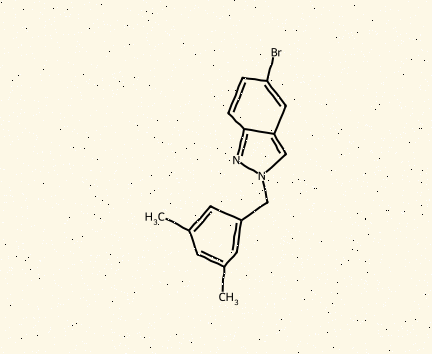 Cc1cc(C)cc(Cn2cc3cc(Br)ccc3n2)c1